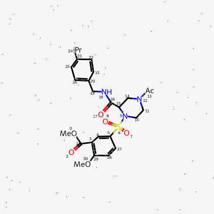 COC(=O)c1cc(S(=O)(=O)N2CCN(C(C)=O)CC2C(=O)NCc2ccc(C(C)C)cc2)ccc1OC